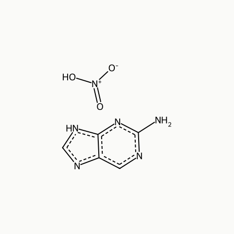 Nc1ncc2nc[nH]c2n1.O=[N+]([O-])O